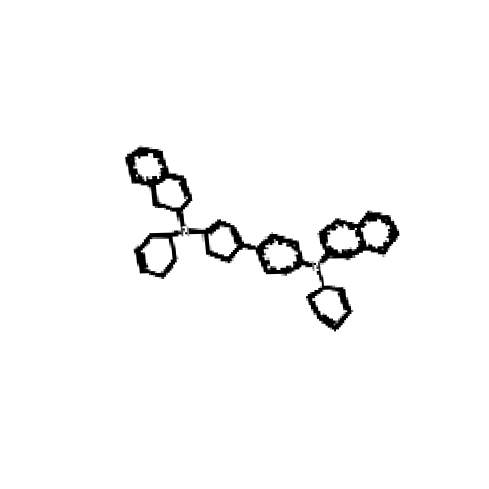 C1=CC[C@@H](N(c2ccc(C3=CC=C(N(C4C=Cc5ccccc5C4)C4CC=CCC4)CC3)cc2)c2ccc3ccccc3c2)C=C1